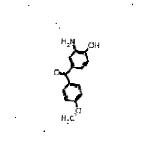 COc1ccc(C(=O)c2ccc(O)c(N)c2)cc1